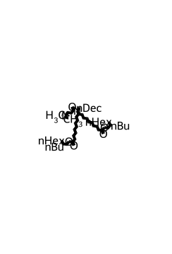 CCCCCCCCCCN(C(=O)CCN(C)C)C(CCCCCCCCC(=O)OCC(CCCC)CCCCCC)CCCCCCCCC(=O)OCC(CCCC)CCCCCC